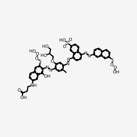 Cc1cc(N=Nc2c(SOOO)cc3ccc(NCCC(=O)O)cc3c2O)c(OCC(O)CO)cc1N=Nc1ccc(N=Nc2ccc3ccc(SOOO)cc3c2)c2ccc(S(=O)(=O)O)cc12